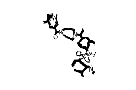 C=C/C(=C(/N=C)C(=C)C)S(=O)(=O)Nc1ccc(C(=C)N2CCN(C(=O)c3cncc(C)c3)CC2)cc1C